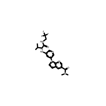 CC(C)[C@@H](Nc1cncc(-n2ccc3cc(C(=O)N(C)C)cnc32)c1)C(=O)NCC(F)(F)F